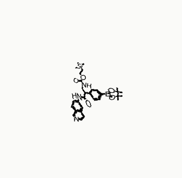 CC1(C)OB(c2ccc(C(CNC(=O)OCC[Si](C)(C)C)C(=O)Nc3ccc4cnccc4c3)cc2)OC1(C)C